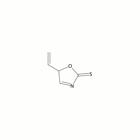 C=CC1C=NC(=S)O1